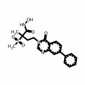 CC(CCn1cnc2cc(-c3ccccc3)ccc2c1=O)(C(=O)NO)S(C)(=O)=O